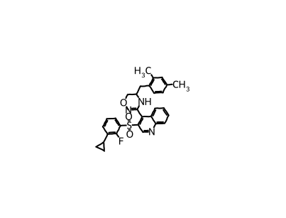 Cc1ccc(CC2CON=C(c3c(S(=O)(=O)c4cccc(C5CC5)c4F)cnc4ccccc34)N2)c(C)c1